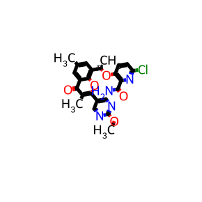 COc1ncc(-c2oc3c([C@@H](C)Oc4ccc(Cl)nc4C(N)=O)cc(C)cc3c(=O)c2C)cn1